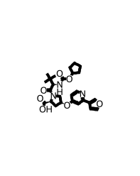 CC(C)(C)[C@H](NC(=O)OC1CCCC1)C(=O)N1C[C@H](Oc2ccnc(-c3ccoc3)c2)C[C@H]1C(=O)O